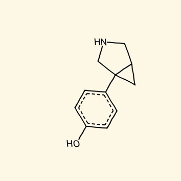 Oc1ccc(C23CNCC2C3)cc1